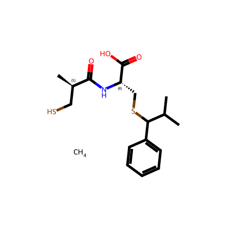 C.CC(C)C(SC[C@H](NC(=O)[C@H](C)CS)C(=O)O)c1ccccc1